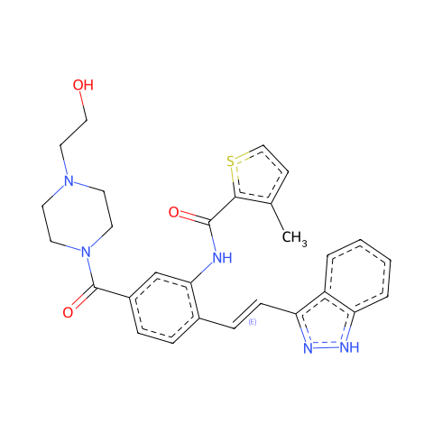 Cc1ccsc1C(=O)Nc1cc(C(=O)N2CCN(CCO)CC2)ccc1/C=C/c1n[nH]c2ccccc12